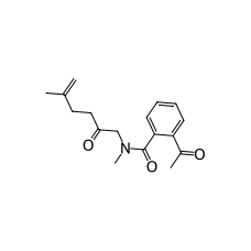 C=C(C)CCC(=O)CN(C)C(=O)c1ccccc1C(C)=O